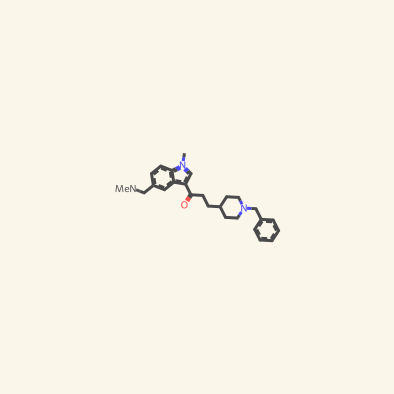 CNCc1ccc2c(c1)c(C(=O)CCC1CCN(Cc3ccccc3)CC1)cn2C